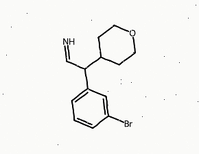 N=CC(c1cccc(Br)c1)C1CCOCC1